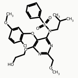 COCc1nc(OCCO)c(Oc2cc(OC)ccc2Cl)c(N(CC(C)C)S(=O)(=O)c2ccccc2)n1